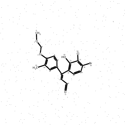 COCOc1ccc(C(=CC=O)c2ccc(Br)c(Cl)c2O)cc1C